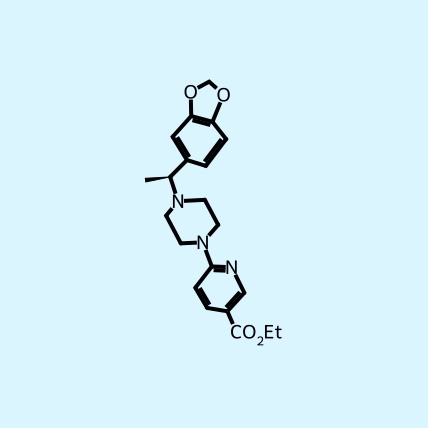 CCOC(=O)c1ccc(N2CCN([C@@H](C)c3ccc4c(c3)OCO4)CC2)nc1